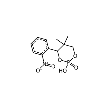 CC1(C)COP(=O)(O)OC1c1ccccc1[N+](=O)[O-]